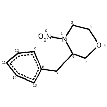 O=[N+]([O-])N1CCOCC1Cc1ccccc1